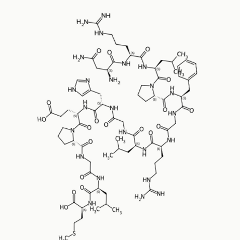 CSCC[C@H](NC(=O)[C@H](CC(C)C)NC(=O)CNC(=O)[C@@H]1CCCN1C(=O)[C@H](CCC(=O)O)NC(=O)[C@H](Cc1c[nH]cn1)NC(=O)CNC(=O)[C@H](CC(C)C)NC(=O)[C@H](CCCNC(=N)N)NC(=O)CNC(=O)[C@H](Cc1ccccc1)NC(=O)[C@@H]1CCCN1C(=O)[C@H](CC(C)C)NC(=O)[C@H](CCCNC(=N)N)NC(=O)[C@@H](N)CC(N)=O)C(=O)O